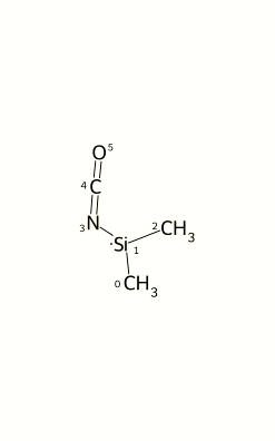 C[Si](C)N=C=O